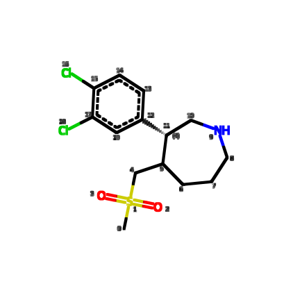 CS(=O)(=O)CC1CCCNC[C@H]1c1ccc(Cl)c(Cl)c1